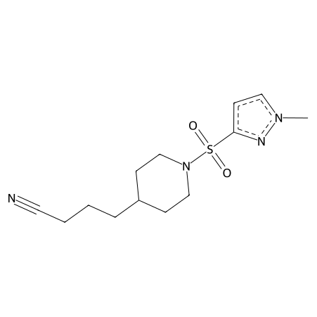 Cn1ccc(S(=O)(=O)N2CCC(CCCC#N)CC2)n1